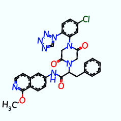 COc1nccc2cc(NC(=O)C(Cc3ccccc3)N3CC(=O)N(c4cc(Cl)ccc4-n4cnnn4)CC3=O)ccc12